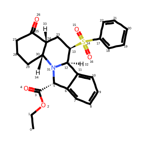 CCOC(=O)[C@H]1c2ccccc2[C@@H]2[C@H](S(=O)(=O)c3ccccc3)C[C@H]3C(=O)CCC[C@H]3N21